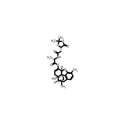 Cc1ccc2c3c1O[C@H]1C(OC(=O)[C@H](C)NC(=O)C[C@@H]4OC(C)(C)OC4=O)=CC[C@@]4(O)[C@@H](C2)N(C)CC[C@]314